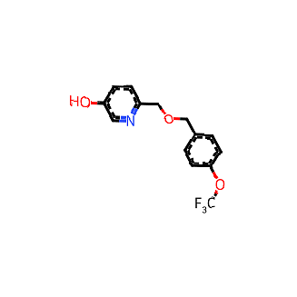 Oc1ccc(COCc2ccc(OC(F)(F)F)cc2)nc1